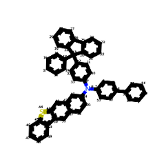 c1ccc(-c2ccc(N(c3ccc(C4(c5ccccc5)c5ccccc5-c5ccccc54)cc3)c3ccc4cc5c(cc4c3)sc3ccccc35)cc2)cc1